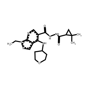 CCn1ncc2c(NC3CCOCC3)c(C(=O)NNC(=O)C3CC3(C)C)cnc21